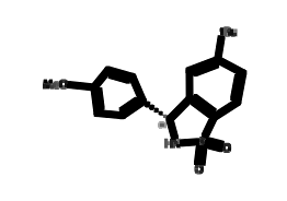 COc1ccc([C@H]2NS(=O)(=O)c3ccc(C(C)(C)C)cc32)cc1